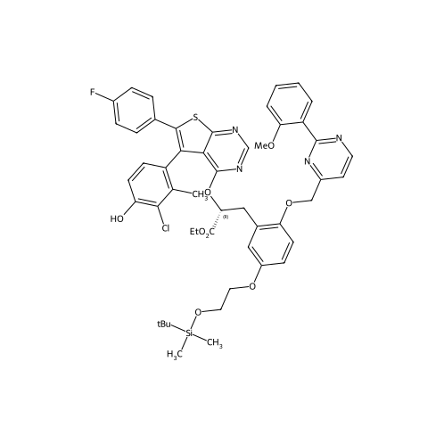 CCOC(=O)[C@@H](Cc1cc(OCCO[Si](C)(C)C(C)(C)C)ccc1OCc1ccnc(-c2ccccc2OC)n1)Oc1ncnc2sc(-c3ccc(F)cc3)c(-c3ccc(O)c(Cl)c3C)c12